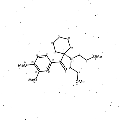 COCCN(CCOC)C1(C(=O)c2ccc(OC)c(OC)c2)CCCCC1